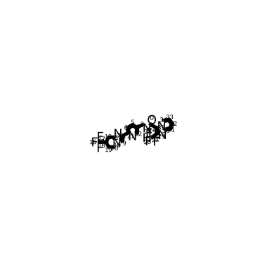 O=C(NCc1ccc(-c2cn3c(n2)CC(C(F)(F)F)CC3)nc1)c1c(C(F)(F)F)nc2ccccn12